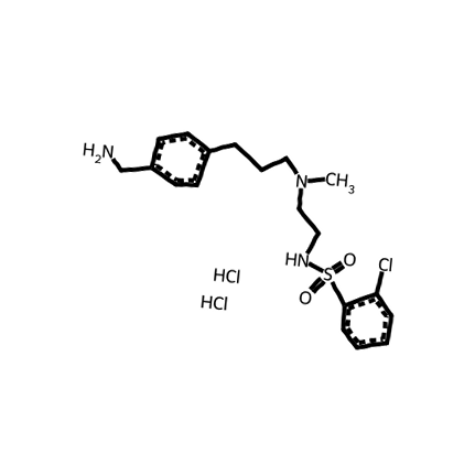 CN(CCCc1ccc(CN)cc1)CCNS(=O)(=O)c1ccccc1Cl.Cl.Cl